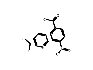 ClCCl.O=C(Cl)c1ccc([N+](=O)[O-])cc1.c1ccncc1